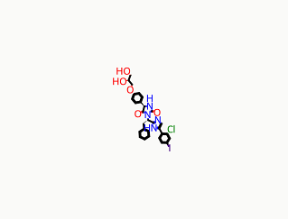 O=C1N[C@H](c2ccc(OC[C@H](O)CO)cc2)C(=O)N1[C@@H](Cc1ccccc1)c1ncc(-c2ccc(I)cc2Cl)[nH]1